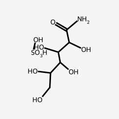 NC(=O)C(O)C(O)C(O)C(O)CO.O=S(=O)(O)O